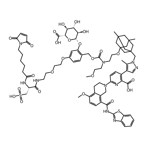 COCCN(CCOC12CC3(C)CC(C)(CC(Cn4ncc(-c5ccc(N6CCc7c(OC)ccc(C(=O)Nc8nc9ccccc9s8)c7C6)nc5C(=O)O)c4C)(C3)C1)C2)C(=O)OCc1ccc(OCCOCCNC(=O)[C@H](CS(=O)(=O)O)NC(=O)CCCCCN2C(=O)C=CC2=O)cc1O[C@@H]1O[C@H](C(=O)O)[C@@H](O)[C@H](O)[C@H]1O